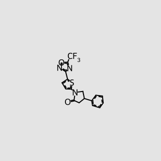 O=C1CC(c2ccccc2)CN1c1ccc(-c2noc(C(F)(F)F)n2)s1